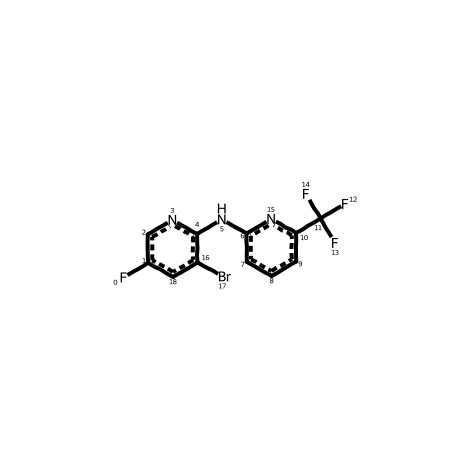 Fc1cnc(Nc2cccc(C(F)(F)F)n2)c(Br)c1